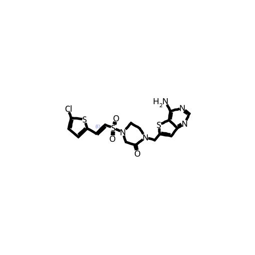 Nc1ncnc2cc(CN3CCN(S(=O)(=O)/C=C/c4ccc(Cl)s4)CC3=O)sc12